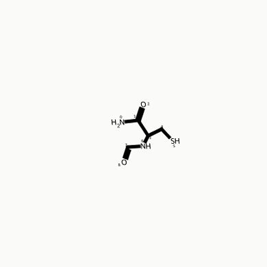 NC(=O)C(CS)NC=O